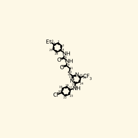 CCc1ccc(NC(=O)NC(=O)CSc2nc(Nc3ccc(Cl)cc3)cc(C(F)(F)F)n2)cc1